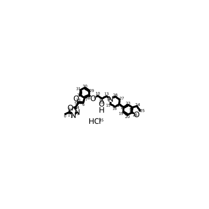 Cc1nnc(-c2cc3c(OC[C@@H](O)CN4CCC(c5ccc6c(c5)CCO6)CC4)cccc3o2)o1.Cl